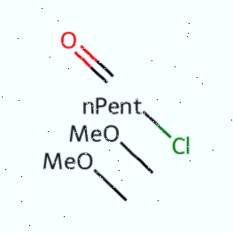 C=O.CCCCCCl.COC.COC